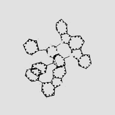 c1ccc(-c2ccc(-n3c4ccccc4c4ccc5c6ccccc6n(-c6nc(-c7ccccc7)nc(-c7ccc8oc9cccc(-c%10ccccc%10)c9c8c7)n6)c5c43)cc2)cc1